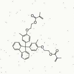 C=C(C)C(=O)OCCOc1ccc(C2(c3ccc(OCCOC(=O)C(=C)C)c(C)c3)c3ccccc3-c3ccccc32)cc1C